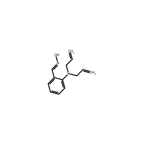 C=CCN(CC=C)c1ccccc1/C=N/O